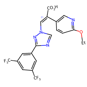 CCOc1ccc(/C(=C\n2cnc(-c3cc(C(F)(F)F)cc(C(F)(F)F)c3)n2)C(=O)O)cn1